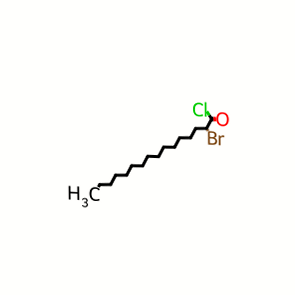 CCCCCCCCCCCCCCC(Br)C(=O)Cl